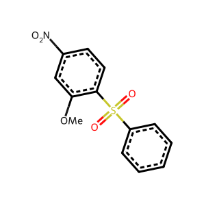 COc1cc([N+](=O)[O-])ccc1S(=O)(=O)c1ccccc1